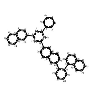 c1ccc(-c2nc(-c3ccc4ccccc4c3)nc(-c3ccc4cc(-c5ccccc5-c5cccc6ccccc56)ccc4c3)n2)cc1